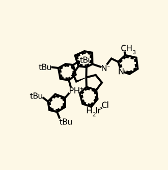 Cc1cccnc1C[N-]c1cccc2c1[C@]1(CC2)CCc2cccc([PH+](c3cc(C(C)(C)C)cc(C(C)(C)C)c3)c3cc(C(C)(C)C)cc(C(C)(C)C)c3)c21.[Cl][IrH2]